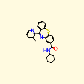 Cc1cccnc1C1=Nc2cc(C(=O)NC3CCCCC3)ccc2Sc2ccccc21